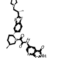 C[C@H]1CC[C@H](c2ccc3sc([C@@H](C)CN4CCCC4)nc3c2)N(C(=O)C(=O)Nc2cnc3o[nH]c(=O)c3c2)C1